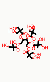 CC(CO)(CO)C(=O)OCC(OC(=O)C(C)(CO)CO)C(OC(=O)C(C)(CO)CO)C(COC(=O)C(C)(CO)CO)OC(=O)C(C)(CO)CO